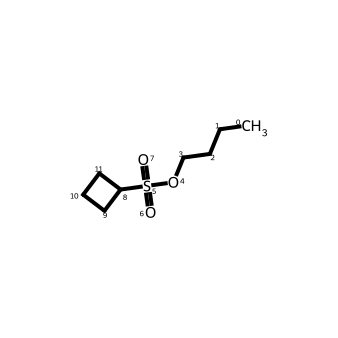 CCCCOS(=O)(=O)C1CCC1